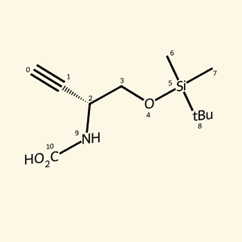 C#C[C@H](CO[Si](C)(C)C(C)(C)C)NC(=O)O